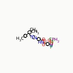 Cc1ccc(C2=C(CN3CCN(c4ccc(C(=O)NS(=O)(=O)c5ccc(N(F)I)c(S(=O)(=O)C(F)(F)P)c5)cc4)CC3)CC(C)(C)CC2)cc1